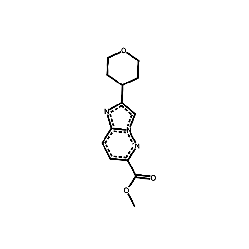 COC(=O)c1ccc2nc(C3CCOCC3)cn2n1